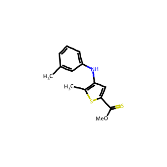 COC(=S)c1cc(Nc2cccc(C)c2)c(C)s1